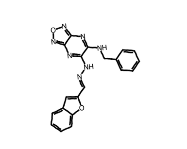 C(=N\Nc1nc2nonc2nc1NCc1ccccc1)/c1cc2ccccc2o1